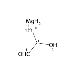 CCCC(O)C=O.[MgH2]